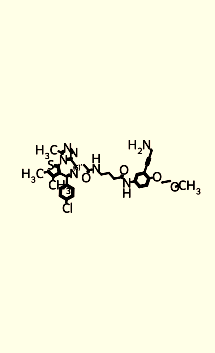 COCCOc1ccc(NC(=O)CCCNC(=O)C[C@@H]2N=C(c3ccc(Cl)cc3)c3c(sc(C)c3C)-n3c(C)nnc32)cc1C#CCN